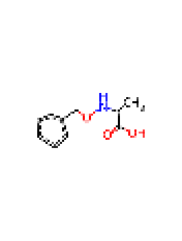 CC(NOCc1ccccc1)C(=O)O